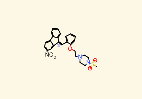 CS(=O)(=O)N1CCN(CCOc2ccccc2/C=C2\c3ccccc3-c3ccc([N+](=O)[O-])cc32)CC1